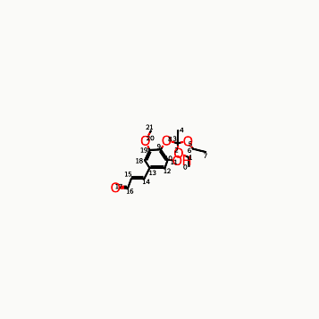 CCOC(C)(OCC)Oc1c(O)cc(C=CC=O)cc1OC